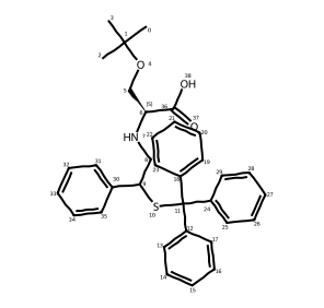 CC(C)(C)OC[C@H](NCC(SC(c1ccccc1)(c1ccccc1)c1ccccc1)c1ccccc1)C(=O)O